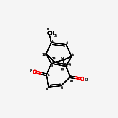 CC1=CC2C3=C(C(=O)C=CC3=O)C1CC2C(C)C